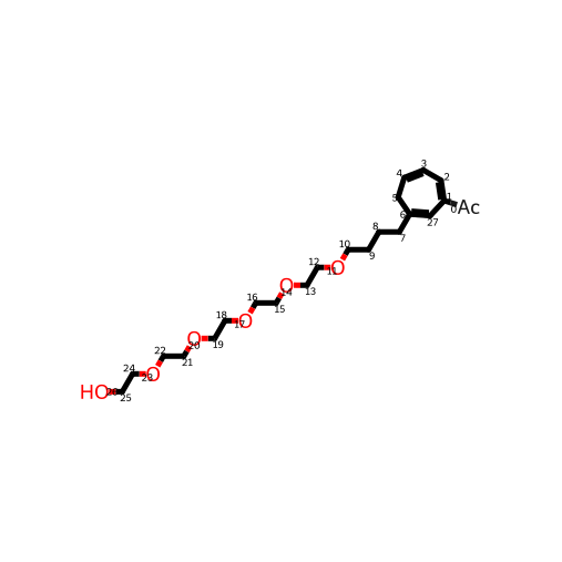 CC(=O)C1=CC=CCC(CCCCOCCOCCOCCOCCOCCO)=C1